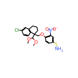 COC(OC)C1(COc2ccc(SN)cc2[N+](=O)[O-])CCCc2cc(Cl)ccc21